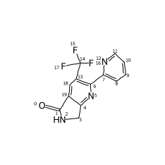 O=C1NCc2nc(-c3ccccn3)c(C(F)(F)F)cc21